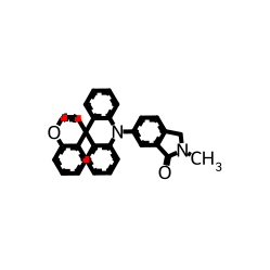 CN1Cc2ccc(N3c4ccccc4C4(c5ccccc5Oc5ccccc54)c4ccccc43)cc2C1=O